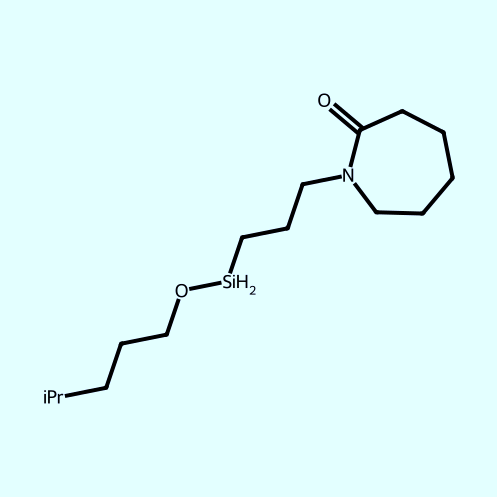 CC(C)CCCO[SiH2]CCCN1CCCCCC1=O